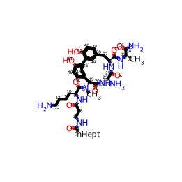 CCCCCCCC(=O)NCCC(=O)N[C@@H](CCCCN)C(=O)N(C)[C@@H]1C(=O)N[C@@H](N)C(=O)N[C@H](C(=O)N[C@@H](C)C(N)=O)Cc2ccc(O)c(c2)-c2cc1ccc2O